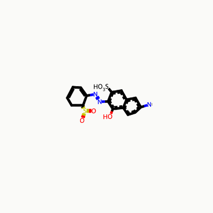 [N]c1ccc2c(O)c(N=NC3=CC=CCC3=S(=O)=O)c(S(=O)(=O)O)cc2c1